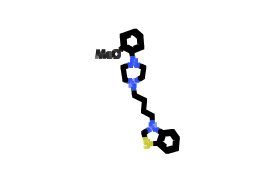 COc1ccccc1N1CCN(CCCCN2CSc3ccccc32)CC1